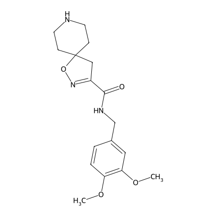 COc1ccc(CNC(=O)C2=NOC3(CCNCC3)C2)cc1OC